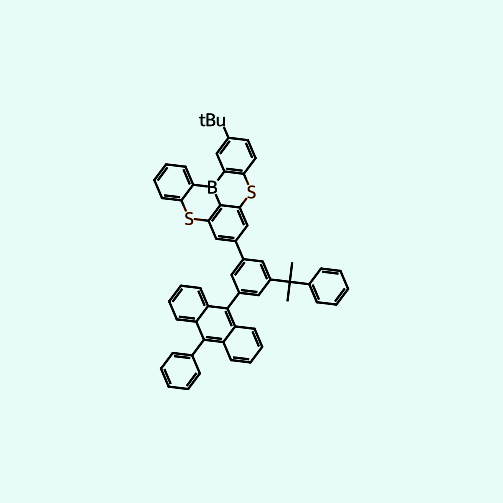 CC(C)(C)c1ccc2c(c1)B1c3ccccc3Sc3cc(-c4cc(-c5c6ccccc6c(-c6ccccc6)c6ccccc56)cc(C(C)(C)c5ccccc5)c4)cc(c31)S2